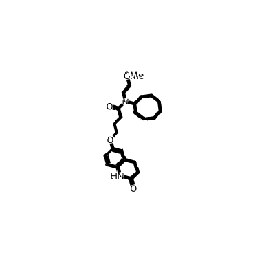 COCCN(C(=O)CCCOc1ccc2c(c1)CCC(=O)N2)C1CCCCCCC1